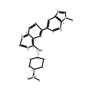 Cn1cnc2cc(-c3ccc4ncnc(N[C@H]5CC[C@H](N(C)C)CC5)c4c3)cnc21